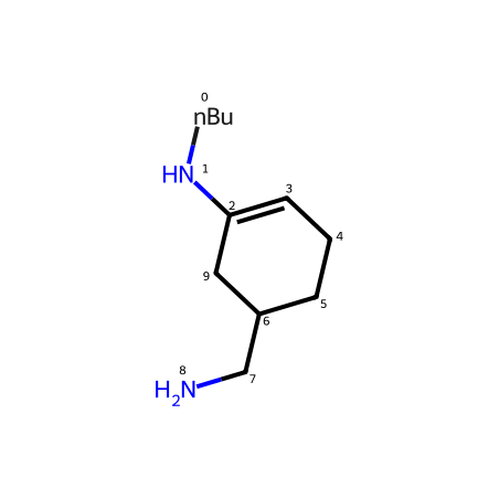 CCCCNC1=CCCC(CN)C1